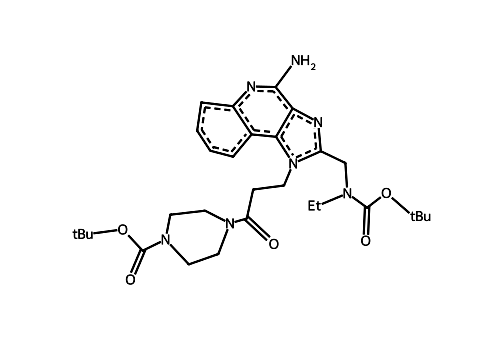 CCN(Cc1nc2c(N)nc3ccccc3c2n1CCC(=O)N1CCN(C(=O)OC(C)(C)C)CC1)C(=O)OC(C)(C)C